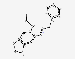 CCOc1cc2c(cc1/C=C/Cc1ccccc1)OCO2